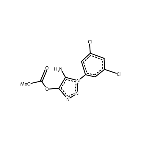 COC(=O)Oc1nnn(-c2cc(Cl)cc(Cl)c2)c1N